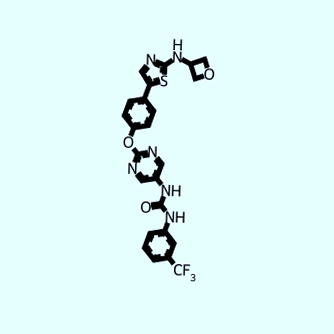 O=C(Nc1cnc(Oc2ccc(-c3cnc(NC4COC4)s3)cc2)nc1)Nc1cccc(C(F)(F)F)c1